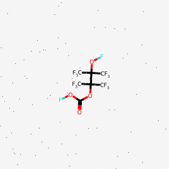 O=C(OF)OC(C(F)(F)F)(C(F)(F)F)C(OF)(C(F)(F)F)C(F)(F)F